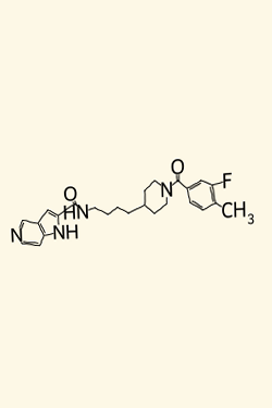 Cc1ccc(C(=O)N2CCC(CCCCNC(=O)c3cc4cnccc4[nH]3)CC2)cc1F